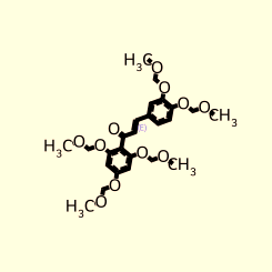 COCOc1cc(OCOC)c(C(=O)/C=C/c2ccc(OCOC)c(OCOC)c2)c(OCOC)c1